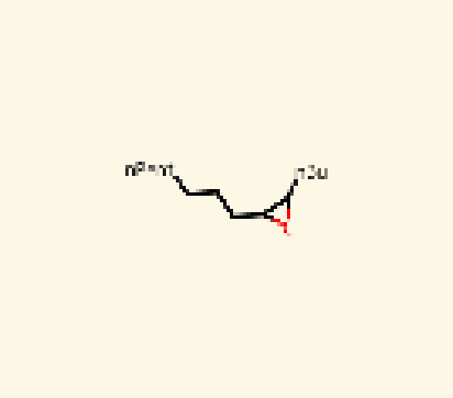 CCCCCCCCC1OC1CCCC